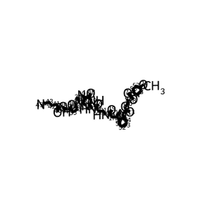 COc1ccc(S(=O)(=O)CCOC(=O)n2cc(CC(=O)NCCC(=O)Nc3nc4c(ncn4[C@H]4CC[C@@H](COP(O)CCCC#N)O4)c(=O)[nH]3)c3ccccc32)cc1